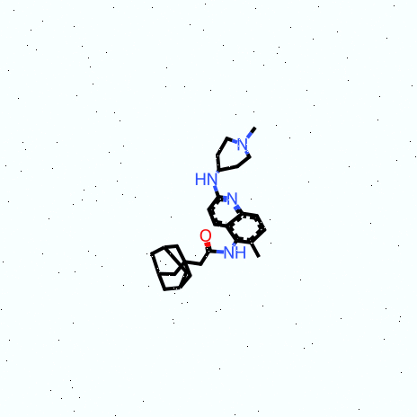 Cc1ccc2nc(NC3CCN(C)CC3)ccc2c1NC(=O)CC12CC3CC(CC(C3)C1)C2